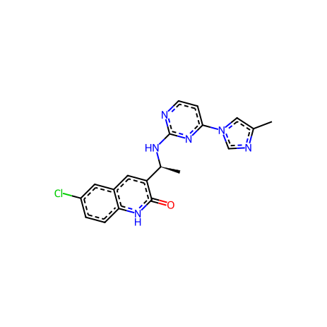 Cc1cn(-c2ccnc(N[C@@H](C)c3cc4cc(Cl)ccc4[nH]c3=O)n2)cn1